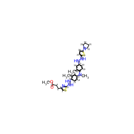 COC(=O)CCc1csc(NNc2ccc(N(C)c3ccc(NNc4ccc(N5CCCC5)s4)cc3C)cc2C)n1